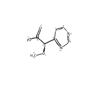 CO[C@@H](C(=O)O)c1ccncn1